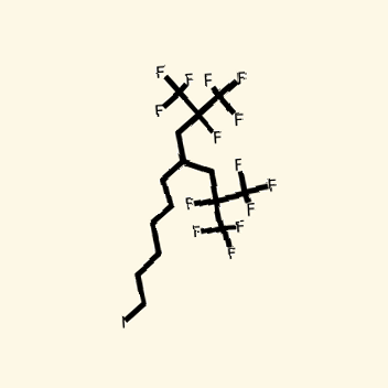 FC(F)(F)C(F)(CC(CCCCCCI)CC(F)(C(F)(F)F)C(F)(F)F)C(F)(F)F